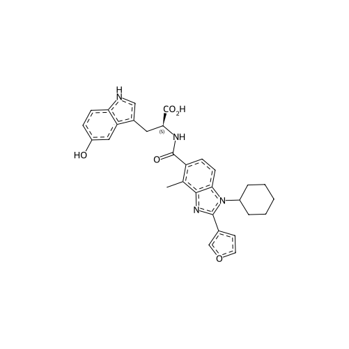 Cc1c(C(=O)N[C@@H](Cc2c[nH]c3ccc(O)cc23)C(=O)O)ccc2c1nc(-c1ccoc1)n2C1CCCCC1